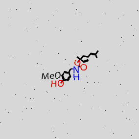 C=CC(C)(CCC=C(C)C)OC(=O)NCc1ccc(O)c(OC)c1